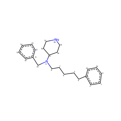 c1ccc(CCCCCN(Cc2ccccc2)C2CCNCC2)cc1